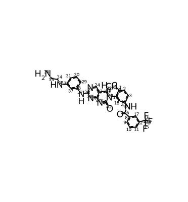 Cc1ccc(NC(=O)c2cccc(C(F)(F)F)c2)cc1-n1c(C)c2cnc(Nc3cccc(NCCN)c3)nc2nc1=O